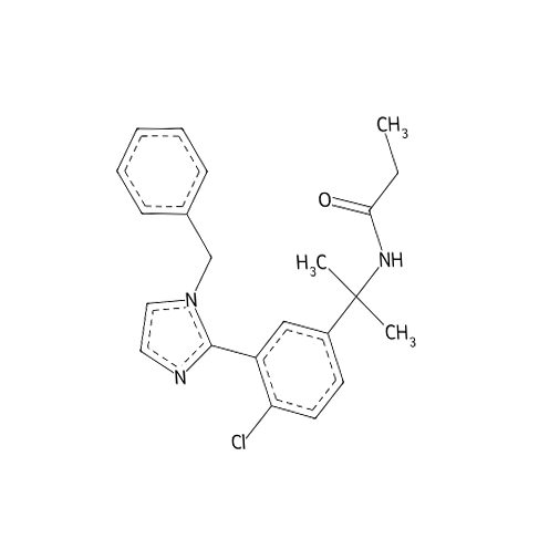 CCC(=O)NC(C)(C)c1ccc(Cl)c(-c2nccn2Cc2ccccc2)c1